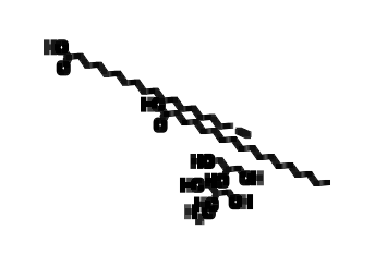 C=C.CCCCCCCCCCCCCCCCCC(=O)O.CCCCCCCCCCCCCCCCCC(=O)O.O.OCC(O)CO.OCC(O)CO